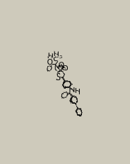 CCC(C(=O)O)N1CC2=C(CC(c3ccc(NC(=O)c4ccc(-c5ccccc5)cc4)cc3)S2)S1(=O)=O